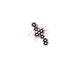 Bc1c(B)c(B)c2c(-c3ccc4c(c3)oc3ccccc34)c3c(B)c(B)c(B)c(B)c3c(-c3ccc(-c4ccc5ccccc5c4)cc3)c2c1B